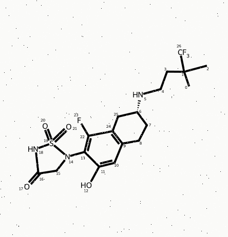 CC(C)(CCN[C@@H]1CCc2cc(O)c(N3CC(=O)NS3(=O)=O)c(F)c2C1)C(F)(F)F